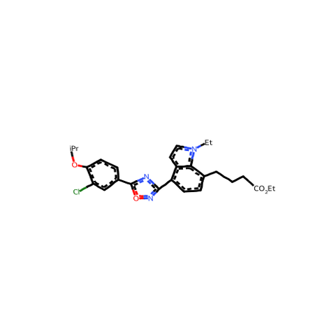 CCOC(=O)CCCc1ccc(-c2noc(-c3ccc(OC(C)C)c(Cl)c3)n2)c2ccn(CC)c12